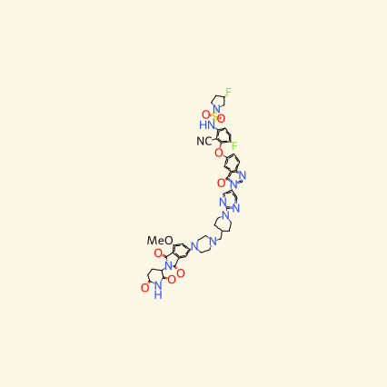 COc1cc(N2CCN(CC3CCN(c4ncc(-n5cnc6ccc(Oc7c(F)ccc(NS(=O)(=O)N8CC[C@@H](F)C8)c7C#N)cc6c5=O)cn4)CC3)CC2)cc2c1C(=O)N(C1CCC(=O)NC1=O)C2=O